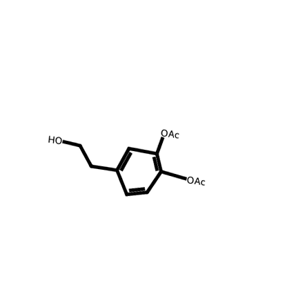 CC(=O)Oc1ccc(CCO)cc1OC(C)=O